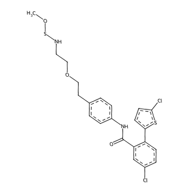 COSNCCOCCc1ccc(NC(=O)c2cc(Cl)ccc2-c2ccc(Cl)s2)cc1